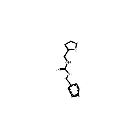 S=C(NCC1CCCO1)SCc1ccccc1